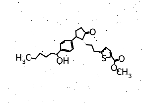 CCCCCC(O)c1ccc(C2CCC(=O)[C@@H]2CCCc2ccc(C(=O)OC)s2)cc1